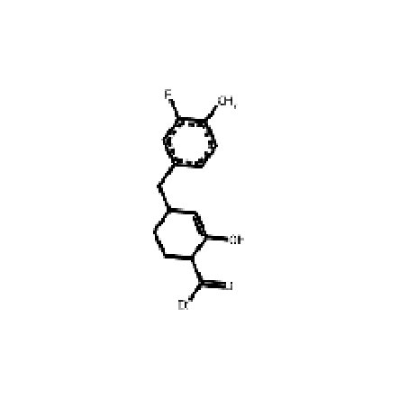 CCC(=O)C1CCC(Cc2ccc(C)c(F)c2)C=C1O